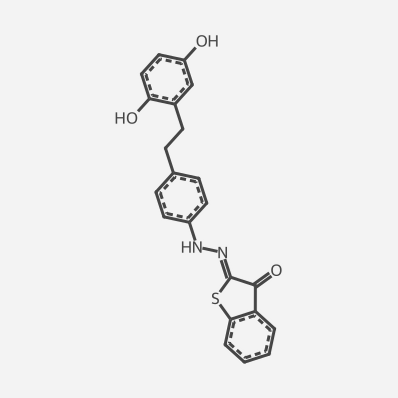 O=C1C(=NNc2ccc(CCc3cc(O)ccc3O)cc2)Sc2ccccc21